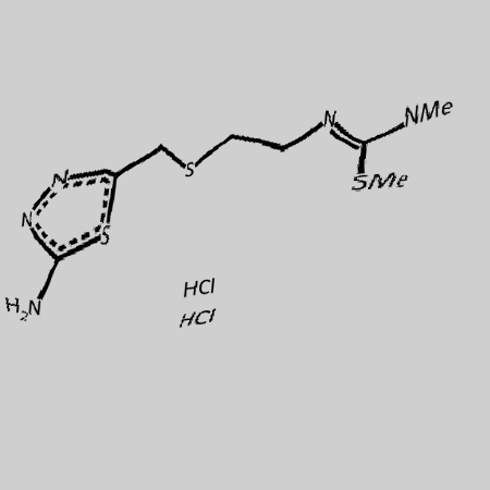 CNC(=NCCSCc1nnc(N)s1)SC.Cl.Cl